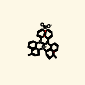 Cc1ccc([N+](=C(N(c2ccccc2)c2ccccc2)N(c2ccccc2)c2ccccc2)c2ccc(C)cc2)cc1.O=N[O-]